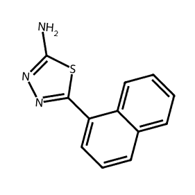 Nc1nnc(-c2cccc3ccccc23)s1